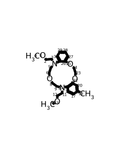 COCCN1CCOCCN(CCOC)c2ccc(C)cc2OCCOc2ccccc21